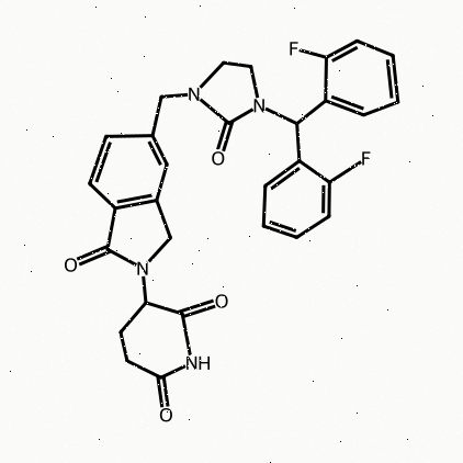 O=C1CCC(N2Cc3cc(CN4CCN(C(c5ccccc5F)c5ccccc5F)C4=O)ccc3C2=O)C(=O)N1